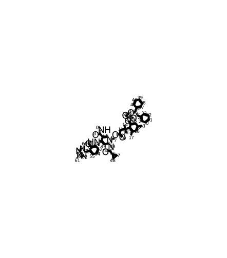 CNC(=O)c1cn(COC(=O)CC(C)(C)c2c(C)cc(C)cc2OP(=O)(OCc2ccccc2)OCc2ccccc2)/c(=N/C(=O)C2CC2)cc1Nc1cccc(-c2nnn(C)n2)c1OC